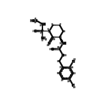 NP(=O)(NS(=O)(=O)O)N1CCC[C@@H](NC(=O)OCc2ccc(Cl)cc2Cl)C1=O